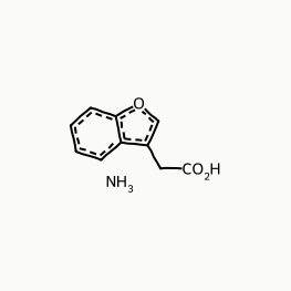 N.O=C(O)Cc1coc2ccccc12